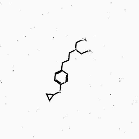 CCN(CC)CCCc1ccc(OC2CC2)cc1